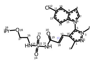 Cc1nn(C)c(-n2ccc3cc(Cl)ccc32)c1/C=C/C(=O)NS(=O)(=O)NCCOC(C)C